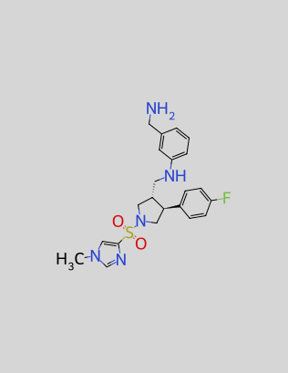 Cn1cnc(S(=O)(=O)N2C[C@H](CNc3cccc(CN)c3)[C@@H](c3ccc(F)cc3)C2)c1